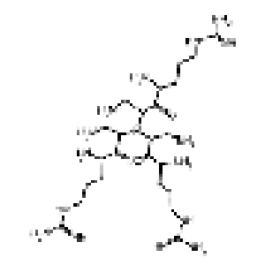 N=C(N)NCCCC(N)C(=O)C(CN)N(C(CN)C(=O)C(N)CCCNC(=N)N)C(CN)C(=O)C(N)CCCNC(=N)N